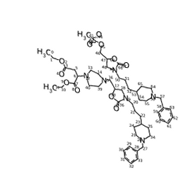 CCOC(=O)CC(C(=O)OCC)N1CCN(CC2CN(CCCC3CCN(Cc4ccccc4)CC3)C(=O)O2)CC1.CS(=O)(=O)OCC1CN(CCCC2CCN(Cc3ccccc3)CC2)C(=O)O1